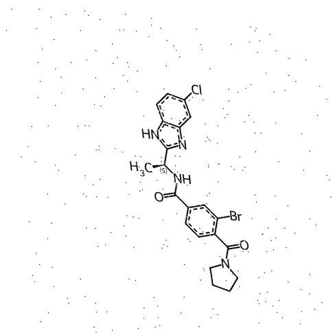 C[C@H](NC(=O)c1ccc(C(=O)N2CCCC2)c(Br)c1)c1nc2cc(Cl)ccc2[nH]1